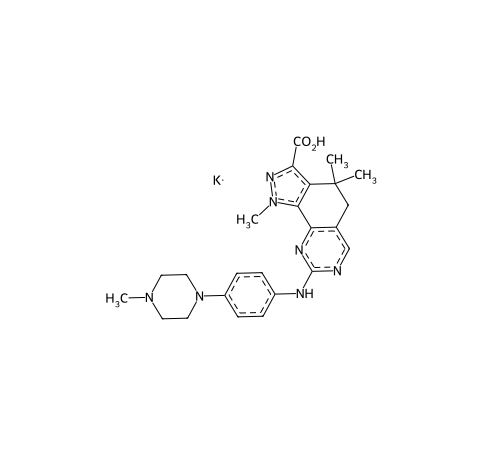 CN1CCN(c2ccc(Nc3ncc4c(n3)-c3c(c(C(=O)O)nn3C)C(C)(C)C4)cc2)CC1.[K]